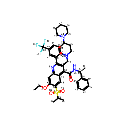 CCOc1cc2nc(-c3cccc(C(F)(F)F)c3)c(CN3CCC(N4CCCCC4)CC3)c(C(=O)N[C@@H](C)c3ccccc3)c2cc1S(=O)(=O)C(C)C